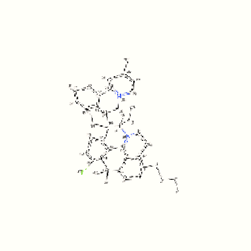 CCCCc1ccc2c3c4[n+](ccc13)C(C)(CC)C(CC)(CC[n+]1ccc(C)cc1-c1cc(C)ccc1C)c1ccc(F)c(c1-4)C2(C)C